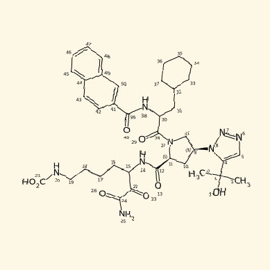 CC(C)(O)c1cnnn1[C@H]1C[C@@H](C(=O)NC(CCCCNC(=O)O)C(=O)C(N)=O)N(C(=O)C(CC2CCCCC2)NC(=O)c2ccc3ccccc3c2)C1